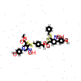 CCOC(=O)c1sc(SCc2ccc(C(C)OC(=O)c3sc(SCc4ccccc4)c4c3CCC(c3ccc(OC)cc3)/C4=N\O)cc2)c2c1CN(c1ccc(OC)cc1)C/C2=N\O